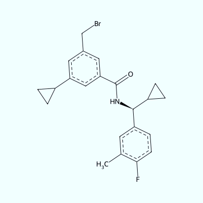 Cc1cc([C@@H](NC(=O)c2cc(CBr)cc(C3CC3)c2)C2CC2)ccc1F